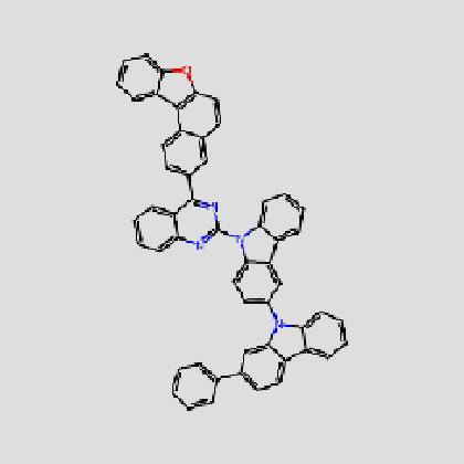 c1ccc(-c2ccc3c4ccccc4n(-c4ccc5c(c4)c4ccccc4n5-c4nc(-c5ccc6c(ccc7oc8ccccc8c76)c5)c5ccccc5n4)c3c2)cc1